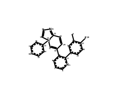 Cc1cc(-c2ncccc2C2=C[N+]3(c4ccncc4)C=CN=C3C=C2)ccc1F